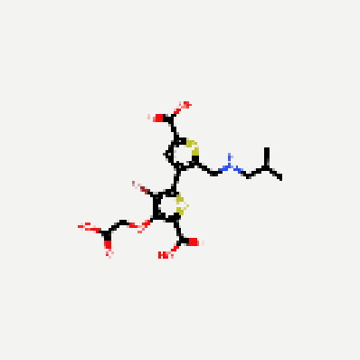 CC(C)CNCc1sc(C(=O)O)cc1-c1sc(C(=O)O)c(OCC(=O)O)c1Br